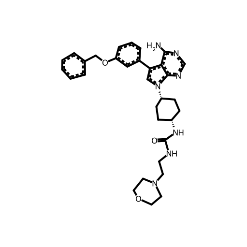 Nc1ncnc2c1c(-c1cccc(OCc3ccccc3)c1)cn2[C@H]1CC[C@@H](NC(=O)NCCN2CCOCC2)CC1